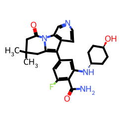 CC1(C)CC(=O)n2c(c(-c3cc(F)c(C(N)=O)c(N[C@H]4CC[C@H](O)CC4)c3)c3ccncc32)C1